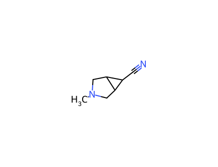 CN1CC2C(C#N)C2C1